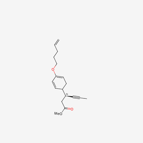 C=CCCCOC1=CCC([C@@H](C#CC)CC(=O)OC)C=C1